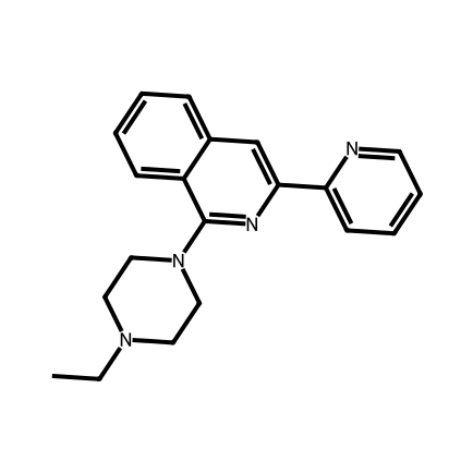 CCN1CCN(c2nc(-c3ccccn3)cc3ccccc23)CC1